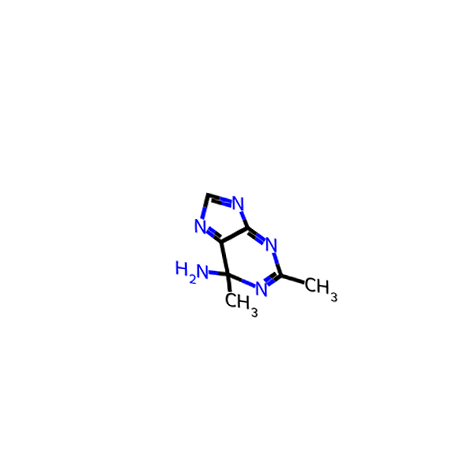 CC1=NC(C)(N)C2=NC=NC2=N1